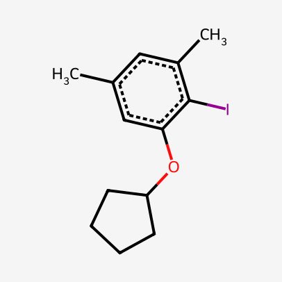 Cc1cc(C)c(I)c(OC2CCCC2)c1